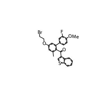 COc1ccc(-c2cc(OCCBr)cc(C)c2C(=O)c2csc3ccccc23)cc1F